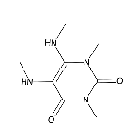 CNc1c(NC)n(C)c(=O)n(C)c1=O